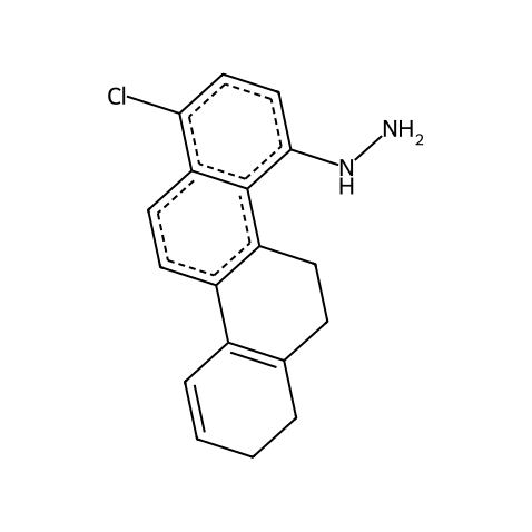 NNc1ccc(Cl)c2ccc3c(c12)CCC1=C3C=CCC1